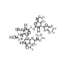 C[C@@H](NC(=O)[C@@H]1C[C@@H](O)CN1C(=O)[C@@H](NC(=O)CCC(=O)NC(c1cccnc1)c1cc2ccccc2o1)C(C)(C)C)c1ccc(N2CCCC2)cc1